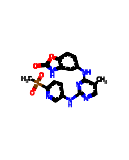 Cc1cnc(Nc2ccc(S(C)(=O)=O)nc2)nc1Nc1ccc2oc(=O)[nH]c2c1